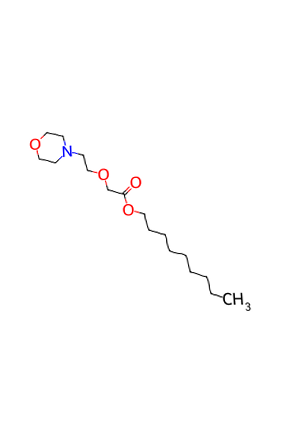 CCCCCCCCCOC(=O)COCCN1CCOCC1